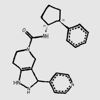 O=C(N[C@@H]1CCC[C@H]1c1ccccc1)N1CCC2=C(C1)C(c1ccncc1)NN2